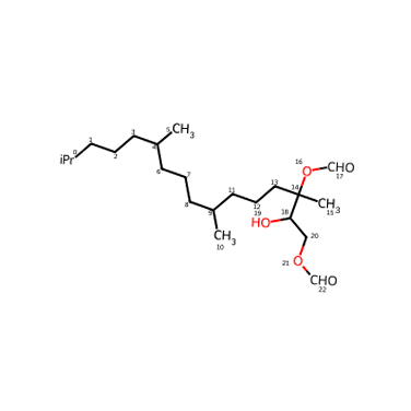 CC(C)CCCC(C)CCCC(C)CCCC(C)(OC=O)C(O)COC=O